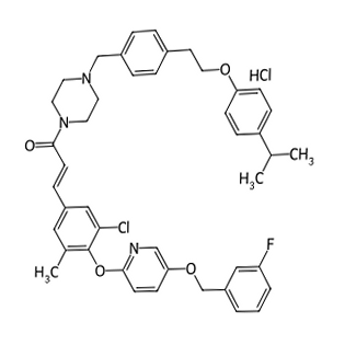 Cc1cc(C=CC(=O)N2CCN(Cc3ccc(CCOc4ccc(C(C)C)cc4)cc3)CC2)cc(Cl)c1Oc1ccc(OCc2cccc(F)c2)cn1.Cl